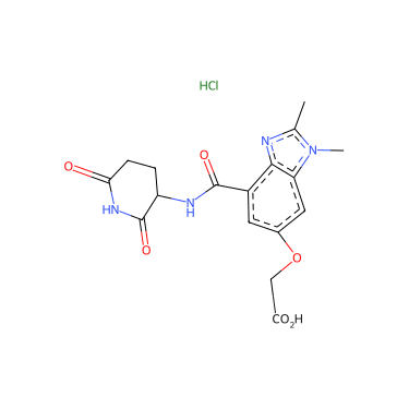 Cc1nc2c(C(=O)NC3CCC(=O)NC3=O)cc(OCC(=O)O)cc2n1C.Cl